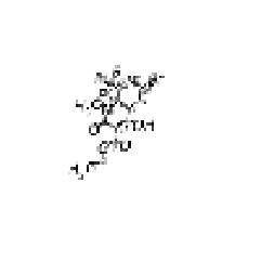 CCOC(=O)c1c(O)c2cc(Br)nc(C(F)(F)F)c2n(C)c1=O